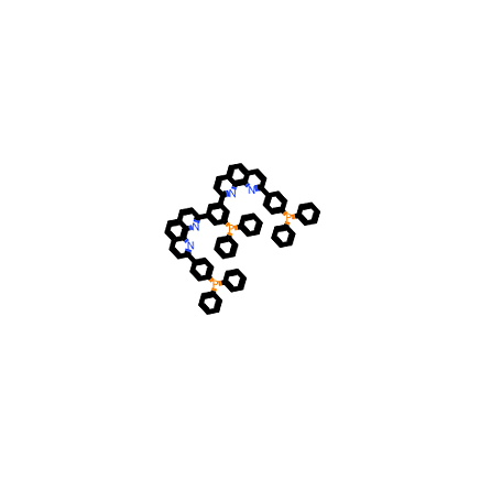 c1ccc(P(c2ccccc2)c2ccc(-c3ccc4ccc5ccc(-c6cc(-c7ccc8ccc9ccc(-c%10ccc(P(c%11ccccc%11)c%11ccccc%11)cc%10)nc9c8n7)cc(P(c7ccccc7)c7ccccc7)c6)nc5c4n3)cc2)cc1